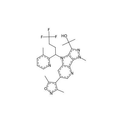 Cc1cccnc1C(CCC(F)(F)F)n1c2cc(-c3c(C)noc3C)cnc2c2c1c(C(C)(C)O)nn2C